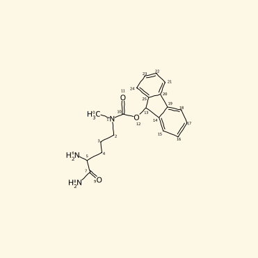 CN(CCCC(N)C(N)=O)C(=O)OC1c2ccccc2-c2ccccc21